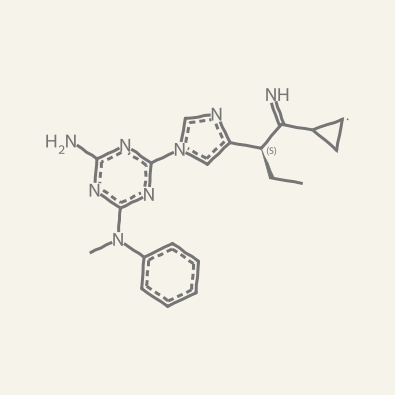 CC[C@H](C(=N)C1[CH]C1)c1cn(-c2nc(N)nc(N(C)c3ccccc3)n2)cn1